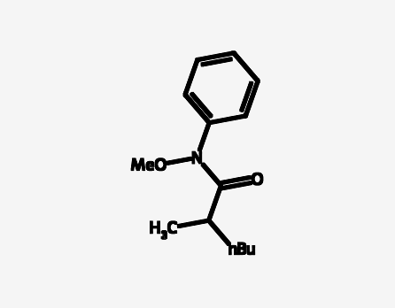 CCCCC(C)C(=O)N(OC)c1ccccc1